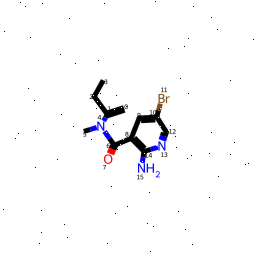 C=C(CC)N(C)C(=O)c1cc(Br)cnc1N